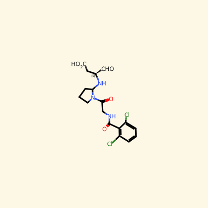 O=C[C@H](CC(=O)O)NC1CCCN1C(=O)CNC(=O)c1c(Cl)cccc1Cl